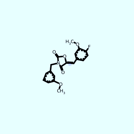 COc1cccc(CN2C(=O)O/C(=C\c3ccc(F)c(OC)c3)C2=O)c1